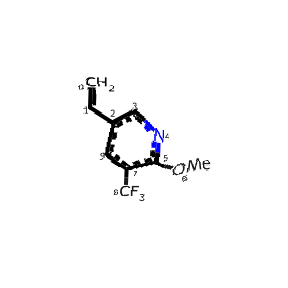 C=Cc1cnc(OC)c(C(F)(F)F)c1